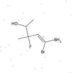 B/C(Br)=C/C(C)(F)C(C)O